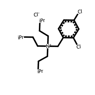 CC(C)CC[N+](CCC(C)C)(CCC(C)C)Cc1ccc(Cl)cc1Cl.[Cl-]